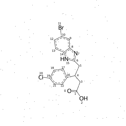 O=C(O)CC(Cc1nc2cc(Br)ccc2[nH]1)c1ccc(Cl)cc1